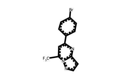 FC(F)(F)c1cc(-c2ccc(Br)cc2)nc2ccnn12